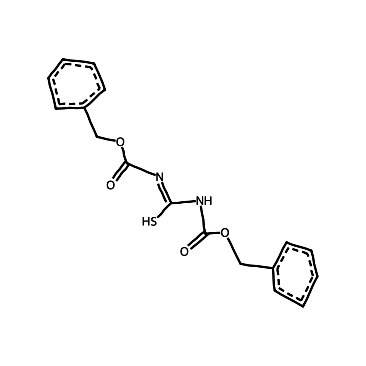 O=C(N=C(S)NC(=O)OCc1ccccc1)OCc1ccccc1